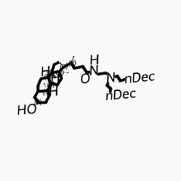 CCCCCCCCCCCCN(CCCCCCCCCCCC)CCNC(=O)CC[C@@H](C)[C@H]1CC[C@H]2[C@@H]3CCC4C[C@H](O)CC[C@]4(C)[C@H]3CC[C@]12C